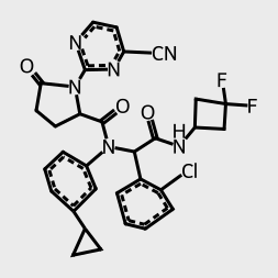 N#Cc1ccnc(N2C(=O)CCC2C(=O)N(c2cccc(C3CC3)c2)C(C(=O)NC2CC(F)(F)C2)c2ccccc2Cl)n1